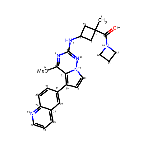 COc1nc(NC2CC(C)(C(=O)N3CCC3)C2)nn2ccc(-c3ccc4ncccc4c3)c12